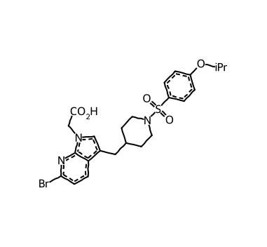 CC(C)Oc1ccc(S(=O)(=O)N2CCC(Cc3cn(CC(=O)O)c4nc(Br)ccc34)CC2)cc1